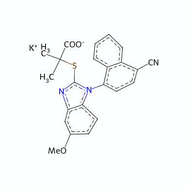 COc1ccc2c(c1)nc(SC(C)(C)C(=O)[O-])n2-c1ccc(C#N)c2ccccc12.[K+]